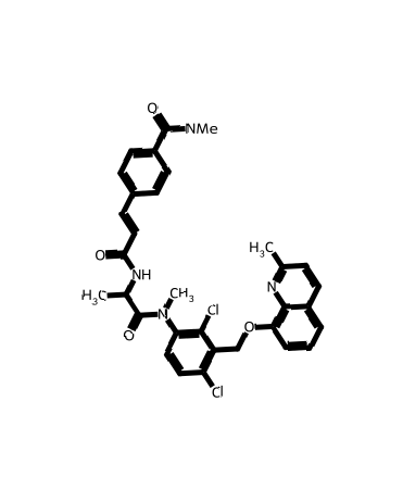 CNC(=O)c1ccc(C=CC(=O)NC(C)C(=O)N(C)c2ccc(Cl)c(COc3cccc4ccc(C)nc34)c2Cl)cc1